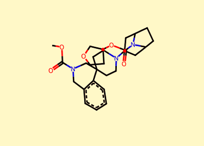 COC(=O)N1Cc2ccccc2C2(CCN(C3CC4CCC(C3)N4C(=O)OC3CCOC3)CC2)C1